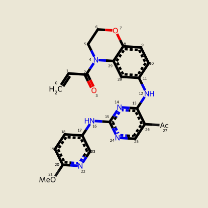 C=CC(=O)N1CCOc2ccc(Nc3nc(Nc4ccc(OC)nc4)ncc3C(C)=O)cc21